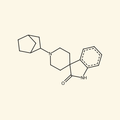 O=C1Nc2ccccc2C12CCN(C1CC3CCC1C3)CC2